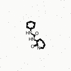 O=C(Nc1ccccc1)Nc1ccccnc1=O